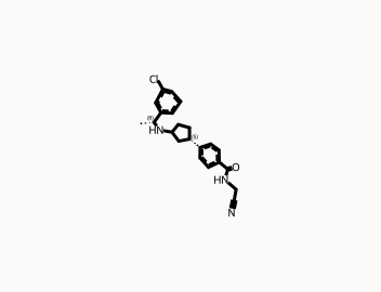 C[C@@H](NC1CC[C@H](c2ccc(C(=O)NCC#N)cc2)C1)c1cccc(Cl)c1